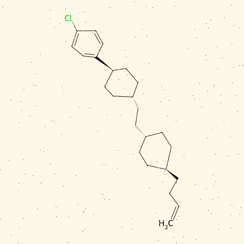 C=CCC[C@H]1CC[C@H](CC[C@H]2CC[C@H](c3ccc(Cl)cc3)CC2)CC1